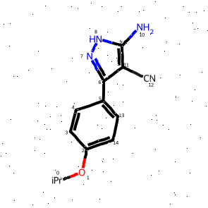 CC(C)Oc1ccc(-c2n[nH]c(N)c2C#N)cc1